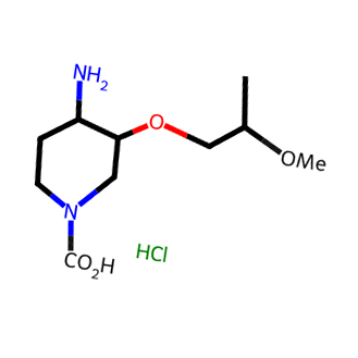 COC(C)COC1CN(C(=O)O)CCC1N.Cl